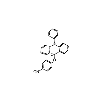 O=Nc1ccc(OC(=O)c2ccccc2P(c2ccccc2)c2ccccc2)cc1